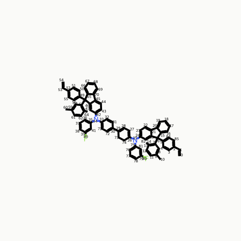 C=Cc1ccc(C2(c3cc(C)ccc3C)c3ccccc3-c3ccc(N(C4=CC=C(c5ccc(N(c6cccc(F)c6)c6ccc7c(c6)C(c6ccc(C=C)cc6)(c6cc(C)ccc6C)c6ccccc6-7)cc5)CC4)c4cccc(F)c4)cc32)cc1